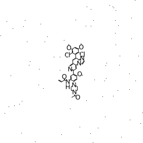 C=CC(=O)Nc1cc(-c2cc3c(cn2)cc(-c2c(Cl)c(OC)cc(OC)c2Cl)c2nccn23)c(OC)cc1N1CCN(C(C)=O)CC1